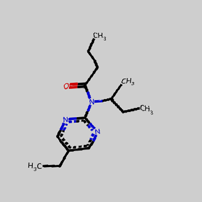 CCCC(=O)N(c1ncc(CC)cn1)C(C)CC